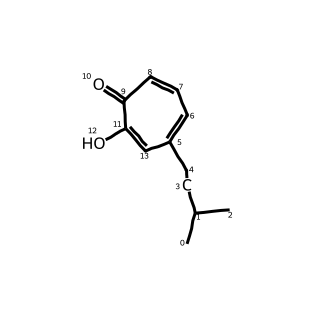 CC(C)CCc1cccc(=O)c(O)c1